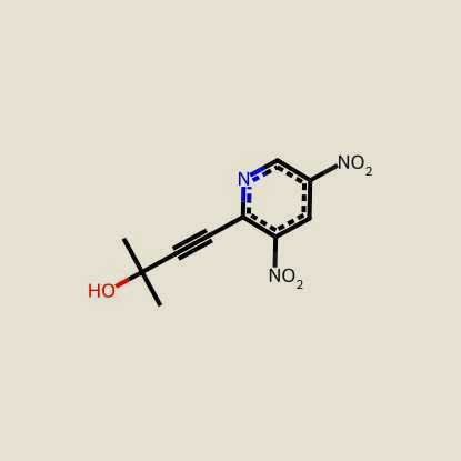 CC(C)(O)C#Cc1ncc([N+](=O)[O-])cc1[N+](=O)[O-]